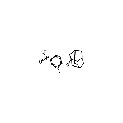 Cc1cc([N+](=O)[O-])ccc1OC12CC3CC(CC(C3)C1)C2